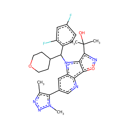 Cc1nnn(C)c1-c1cnc2c3onc(C(C)(C)O)c3n(C(c3ccc(F)cc3F)C3CCOCC3)c2c1